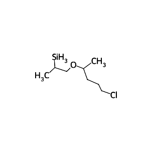 CC([SiH3])COC(C)CCCCl